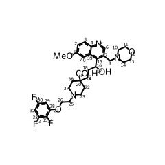 COc1ccc2ncc(CN3CCOCC3)c([C@@H](O)CCC3(C(=O)O)CCN(CCOc4cc(F)cc(F)c4F)CC3)c2c1